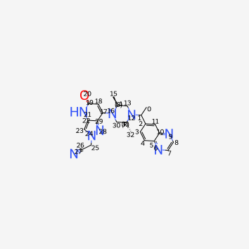 CC(c1ccc2nccnc2c1)N1C[C@H](C)N(c2cc(=O)[nH]c3cn(CC#N)nc23)C[C@H]1C